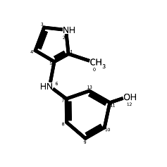 Cc1[nH]ccc1Nc1cccc(O)c1